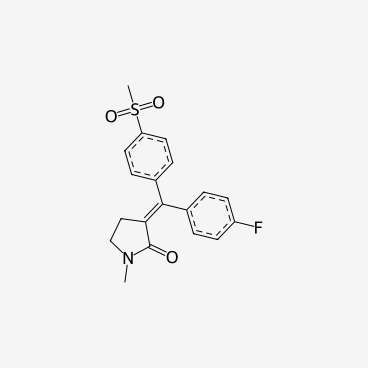 CN1CC/C(=C(/c2ccc(F)cc2)c2ccc(S(C)(=O)=O)cc2)C1=O